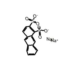 O=S(=O)([O-])c1ccc2cc3ccccc3cc2c1S(=O)(=O)[O-].[Na+].[Na+]